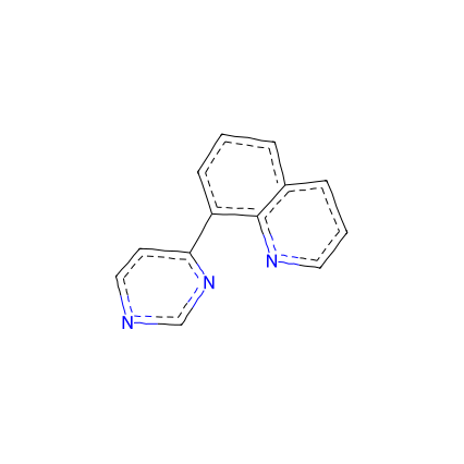 c1cnc2c(-c3ccncn3)cccc2c1